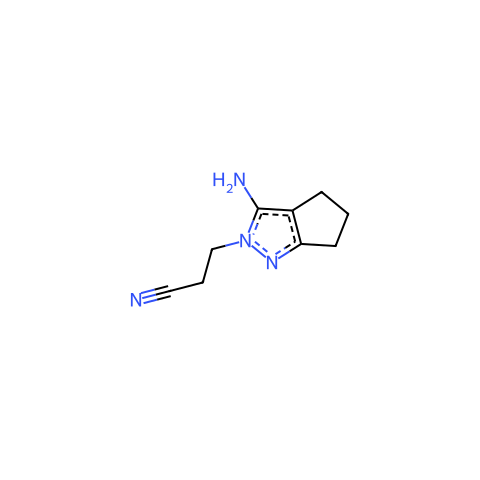 N#CCCn1nc2c(c1N)CCC2